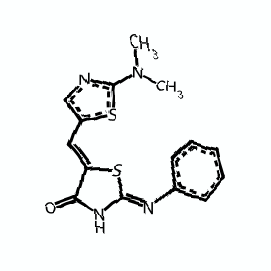 CN(C)c1ncc(C=C2SC(=Nc3ccccc3)NC2=O)s1